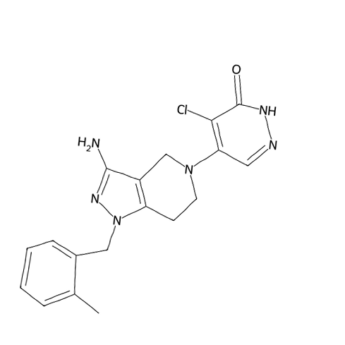 Cc1ccccc1Cn1nc(N)c2c1CCN(c1cn[nH]c(=O)c1Cl)C2